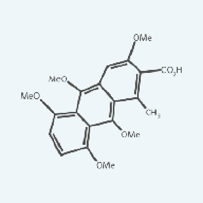 COc1cc2c(OC)c3c(OC)ccc(OC)c3c(OC)c2c(C)c1C(=O)O